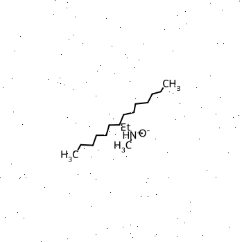 CCCCCCCCCCCCCC.CC[NH+](C)[O-]